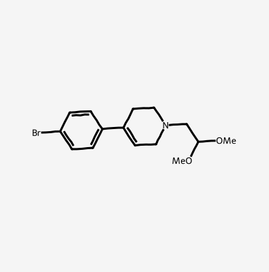 COC(CN1CC=C(c2ccc(Br)cc2)CC1)OC